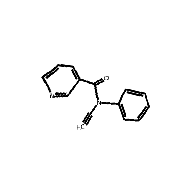 C#CN(C(=O)c1cccnc1)c1ccccc1